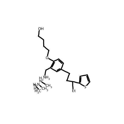 CCC(CCc1ccc(OCCCCO)c(CN)c1)c1cccs1.CN.CN.CN